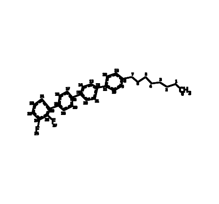 CCCCCCCCc1ccc(-c2ccc(-c3ccc(-c4cccc(F)c4F)cc3)cc2)cc1